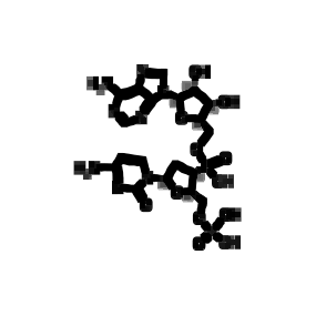 Nc1ccn([C@H]2C[C@H](P(=O)(O)OC[C@H]3O[C@@H](n4cnc5c(N)ncnc54)[C@H](O)[C@@H]3O)[C@@H](COP(=O)(O)O)O2)c(=O)n1